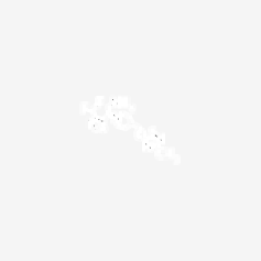 Cc1nsc(OCC2CCN(C(CN)c3scnc3C(F)F)CC2)n1